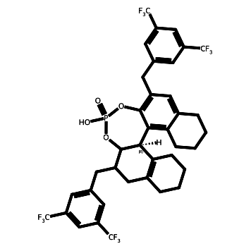 O=P1(O)Oc2c(Cc3cc(C(F)(F)F)cc(C(F)(F)F)c3)cc3c(c2[C@H]2C4=C(CCCC4)CC(Cc4cc(C(F)(F)F)cc(C(F)(F)F)c4)C2O1)CCCC3